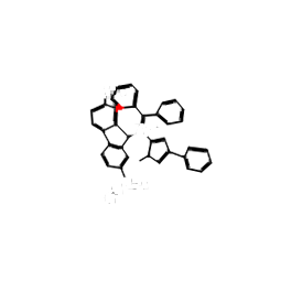 CC1C=C(c2ccccc2)C=[C]1[Zr+2](=[C](c1ccccc1)c1ccccc1)[CH]1c2cc(C(C)(C)C)ccc2-c2ccc(C(C)(C)C)cc21.[Cl-].[Cl-]